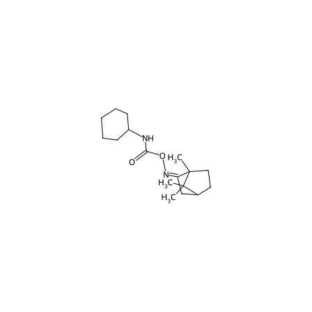 CC12CCC(CC1=NOC(=O)NC1CCCCC1)C2(C)C